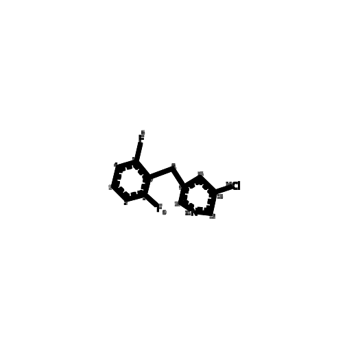 Fc1cccc(F)c1[CH]c1cncc(Cl)c1